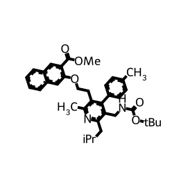 COC(=O)c1cc2ccccc2cc1OCCc1c(C)nc(CC(C)C)c(CNC(=O)OC(C)(C)C)c1-c1ccc(C)cc1